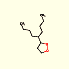 CCCCC(CCCC)C1CCOO1